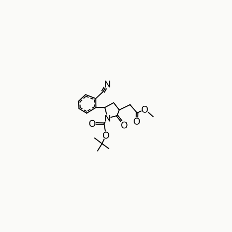 COC(=O)CC1CC(c2ccccc2C#N)N(C(=O)OC(C)(C)C)C1=O